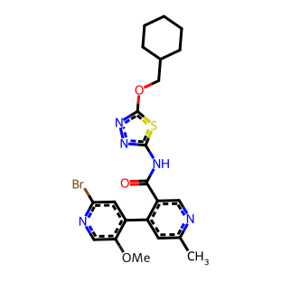 COc1cnc(Br)cc1-c1cc(C)ncc1C(=O)Nc1nnc(OCC2CCCCC2)s1